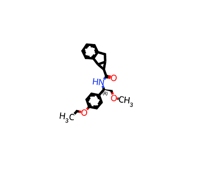 CCOc1ccc([C@H](COC)NC(=O)C2C3Cc4ccccc4C32)cc1